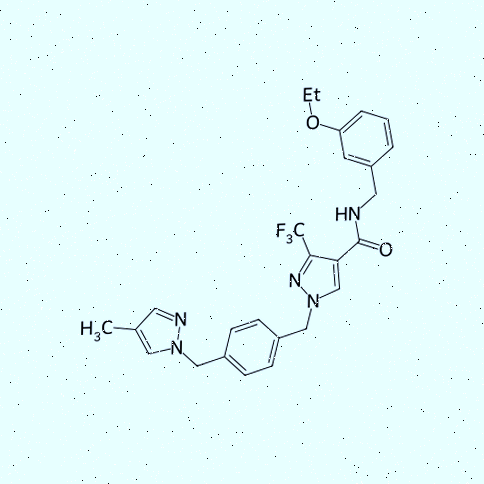 CCOc1cccc(CNC(=O)c2cn(Cc3ccc(Cn4cc(C)cn4)cc3)nc2C(F)(F)F)c1